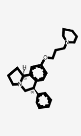 c1ccc([C@H]2CN3CCC[C@H]3c3cc(OCCCN4CCCCC4)ccc32)cc1